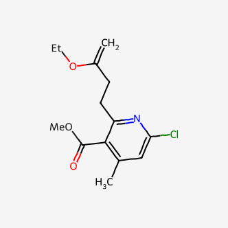 C=C(CCc1nc(Cl)cc(C)c1C(=O)OC)OCC